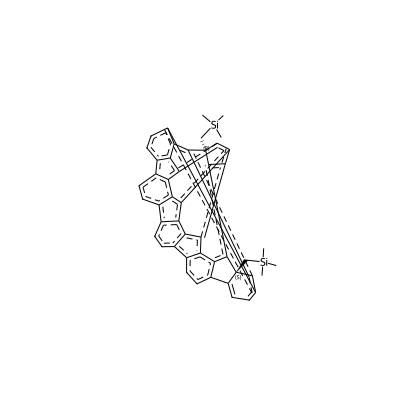 C[Si](C)(C)C[C@]12C3=CC=c4c1c1c5c4ccc4c6ccc7c8ccc9c%10ccc3c3c2c2c%11c%12c(c(c45)c6c7c%12c8c9c%11c3%10)[C@]12C[Si](C)(C)C